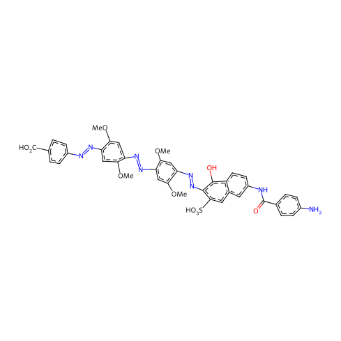 COc1cc(N=Nc2cc(OC)c(N=Nc3c(S(=O)(=O)O)cc4cc(NC(=O)c5ccc(N)cc5)ccc4c3O)cc2OC)c(OC)cc1N=Nc1ccc(C(=O)O)cc1